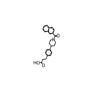 O=C(O)CCc1ccc(C2CCN(C(=O)c3ccc4ccccc4c3)CC2)cc1